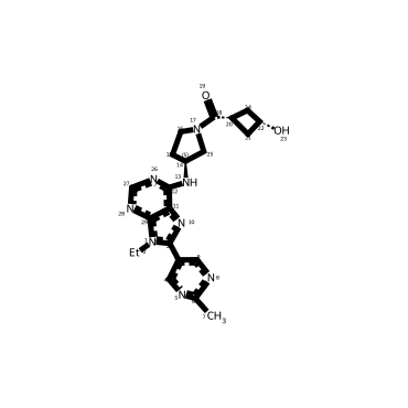 CCn1c(-c2cnc(C)nc2)nc2c(N[C@H]3CCN(C(=O)[C@H]4C[C@@H](O)C4)C3)ncnc21